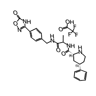 CC(NC(=O)[C@H]1C[C@@H](c2ccccc2)CCN1)C(=O)NCc1ccc(-c2noc(=O)[nH]2)cc1.O=C(O)C(F)(F)F